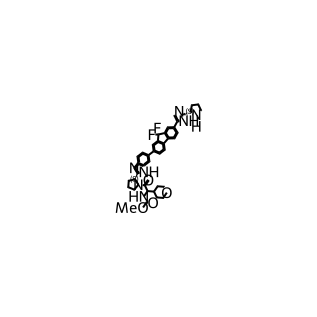 COC(=O)NC(C(=O)N1CCC[C@H]1c1nc2ccc(-c3ccc4c(c3)C(F)(F)c3cc(-c5cnc([C@@H]6CCCN6)[nH]5)ccc3-4)cc2[nH]1)C1CCOCC1